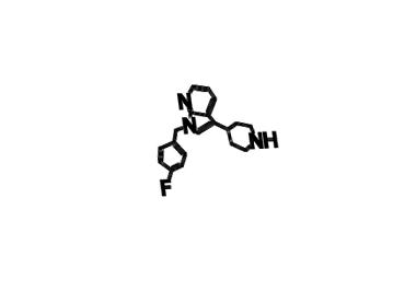 Fc1ccc(Cn2cc(C3CCNCC3)c3cccnc32)cc1